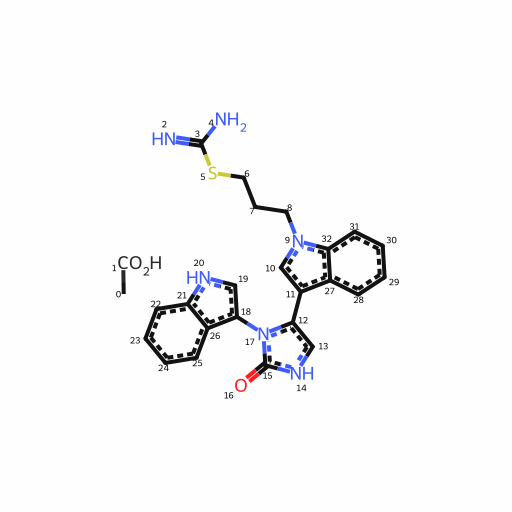 CC(=O)O.N=C(N)SCCCn1cc(-c2c[nH]c(=O)n2-c2c[nH]c3ccccc23)c2ccccc21